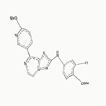 COc1ccc(-c2nccn3nc(Nc4ccc(OC)c(Cl)c4)nc23)cn1